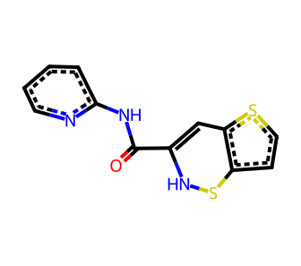 O=C(Nc1ccccn1)C1=Cc2sccc2SN1